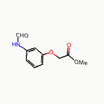 COC(=O)COc1cccc(NC=O)c1